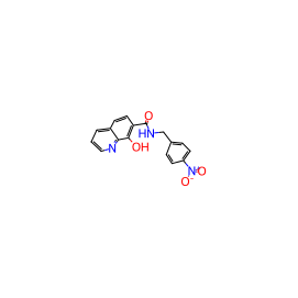 O=C(NCc1ccc([N+](=O)[O-])cc1)c1ccc2cccnc2c1O